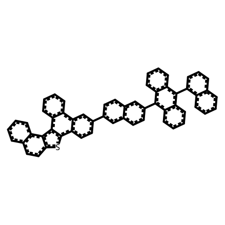 c1ccc2c(-c3c4ccccc4c(-c4ccc5cc(-c6ccc7c(c6)c6ccccc6c6c7sc7ccc8ccccc8c76)ccc5c4)c4ccccc34)cccc2c1